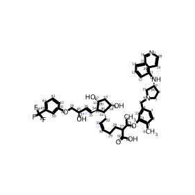 Cc1ccc(CN2CC[C@@H](Nc3cccc4cnccc34)C2)cc1OC(C)C(CC/C=C\C[C@@H]1[C@@H](/C=C/[C@@H](O)COc2cccc(C(F)(F)F)c2)[C@H](O)C[C@@H]1O)C(=O)O